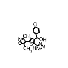 Cc1noc(C)c1-c1cc(C(O)c2ccc(Cl)cc2)c(-c2nnc[nH]2)s1